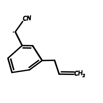 C=CCc1cccc([CH]C#N)c1